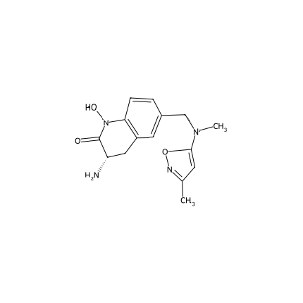 Cc1cc(N(C)Cc2ccc3c(c2)C[C@H](N)C(=O)N3O)on1